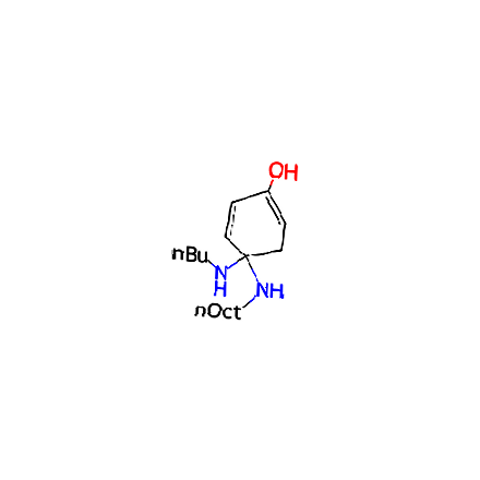 CCCCCCCCNC1(NCCCC)C=CC(O)=CC1